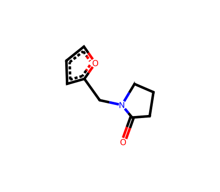 O=C1CC[CH]N1Cc1ccco1